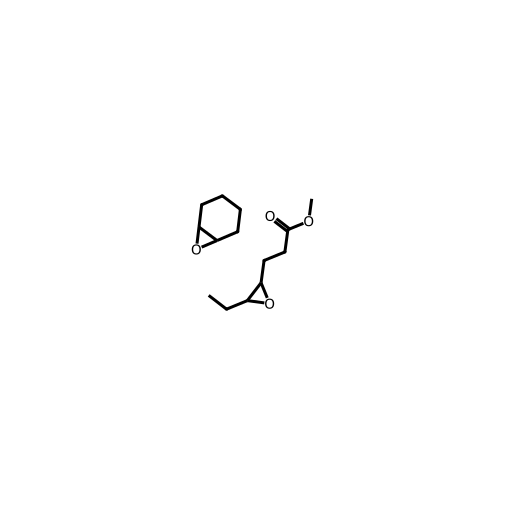 C1CCC2OC2C1.CCC1OC1CCC(=O)OC